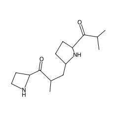 CC(C)C(=O)C1CCC(CC(C)C(=O)C2CCN2)N1